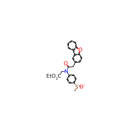 CCOC(=O)CN(C(=O)Cc1ccc2oc3ccccc3c2c1)c1ccc([S+](C)[O-])cc1